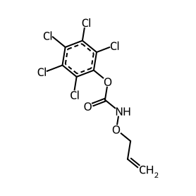 C=CCONC(=O)Oc1c(Cl)c(Cl)c(Cl)c(Cl)c1Cl